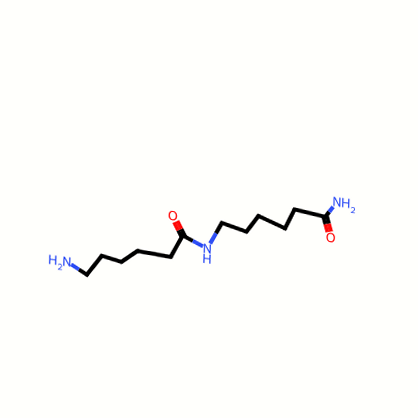 NCCCCCC(=O)NCCCCCC(N)=O